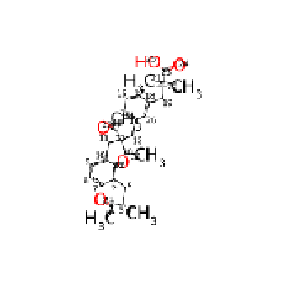 CC(=O)C(C)Cc1cccc(CC(Cc2cccc(CC(C)(C)C(=O)O)c2)(C(C)=O)C(C)=O)c1